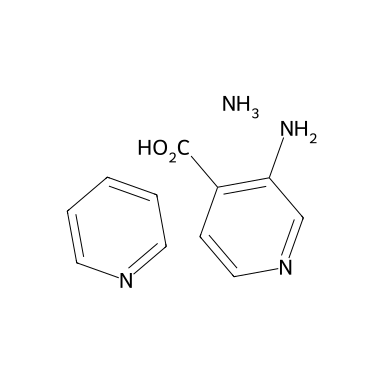 N.Nc1cnccc1C(=O)O.c1ccncc1